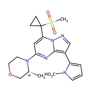 C[C@@H]1COCCN1c1cc(C2(S(C)(=O)=O)CC2)n2ncc(-c3cccn3C(=O)O)c2n1